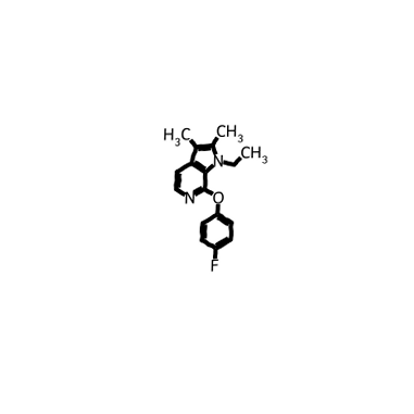 CCn1c(C)c(C)c2ccnc(Oc3ccc(F)cc3)c21